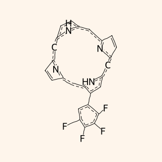 Fc1cc(-c2cc3cc4nc(cc5ccc(cc6nc(cc2[nH]3)C=C6)[nH]5)C=C4)c(F)c(F)c1F